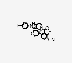 N#Cc1ccc(C2(F)CCOCC2)c(C(=O)N2CCc3nn(-c4ccc(F)cc4)cc3C2)c1F